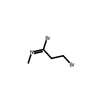 C/N=C(/Br)CCBr